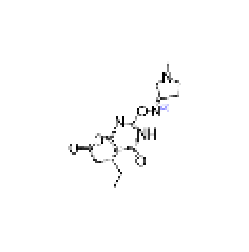 CCc1cc(=O)oc2nc(O/N=C3/CCN(C)C3)[nH]c(=O)c12